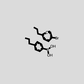 CCCc1ccc(B(O)O)cc1.CCCc1ccc(Br)cc1